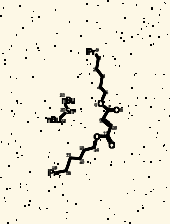 CC(C)CCCCCOC(=O)C=CC(=O)OCCCCCC(C)C.CCC[CH2][Sn][CH2]CCC